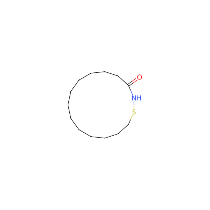 O=C1CCCCCCCCCCCCSN1